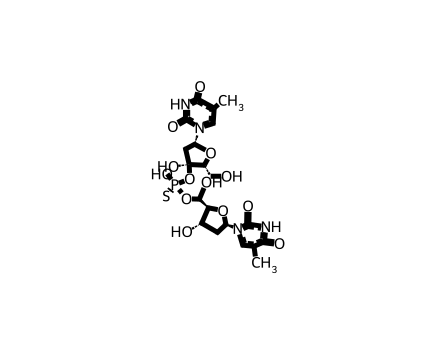 Cc1cn([C@H]2C[C@H](O)[C@@H](C(O)OP(O)(=S)O[C@@]3(O)C[C@H](n4cc(C)c(=O)[nH]c4=O)O[C@@H]3CO)O2)c(=O)[nH]c1=O